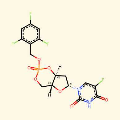 O=c1[nH]c(=O)n([C@H]2C[C@@H]3OP(=O)(OCc4c(F)cc(F)cc4F)OC[C@H]3O2)cc1F